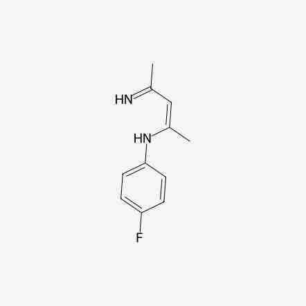 CC(=N)/C=C(/C)Nc1ccc(F)cc1